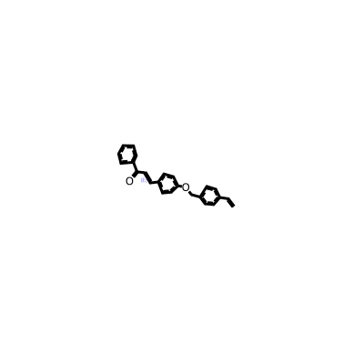 C=Cc1ccc(COc2ccc(/C=C/C(=O)c3ccccc3)cc2)cc1